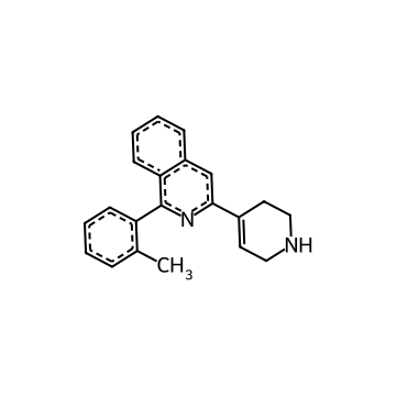 Cc1ccccc1-c1nc(C2=CCNCC2)cc2ccccc12